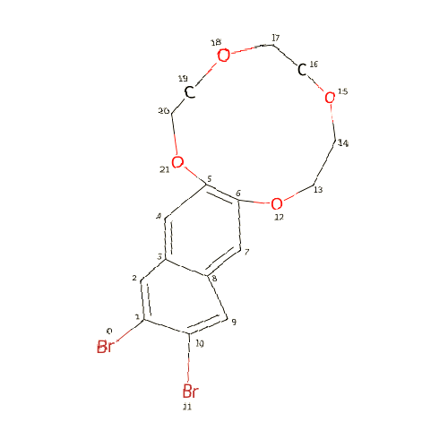 Brc1cc2cc3c(cc2cc1Br)OCCOCCOCCO3